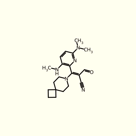 CNc1ccc(N(C)C)nc1/C(=C(/C#N)C=O)N1CCC2(CCC2)CC1